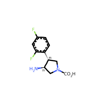 N[C@@H]1CN(C(=O)O)C[C@H]1c1ccc(F)cc1F